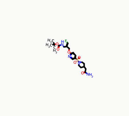 CC(C)(C)OC(=O)NC/C(=C\F)COc1ccc(S(=O)(=O)N2CCC(CC(N)=O)CC2)cn1